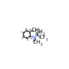 C=C(N(C)c1ccccc1C)C(F)(F)F